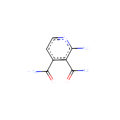 NC(=O)c1ccnc(N)c1C(N)=O